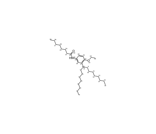 CCCCCCCCN(CCCCCCCC)c1cc(NC(=O)CCCCCCC)ccc1OCC